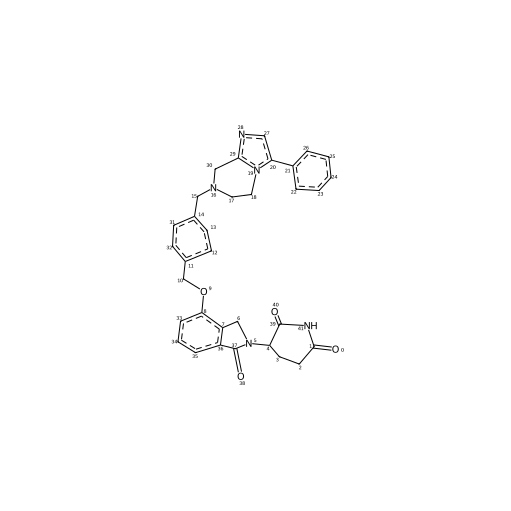 O=C1CCC(N2Cc3c(OCc4ccc(CN5CCn6c(-c7ccccc7)cnc6C5)cc4)cccc3C2=O)C(=O)N1